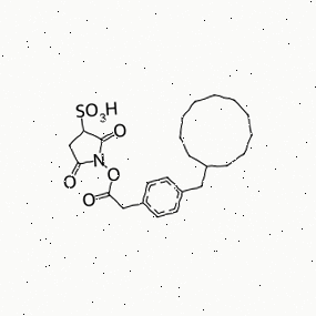 O=C(Cc1ccc(CC2CCCCCCCCCC2)cc1)ON1C(=O)CC(S(=O)(=O)O)C1=O